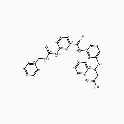 O=C(O)CC(Sc1cccc(NC(=O)c2cccc(NC(=O)NCc3ccccc3)c2)c1)c1ccccc1